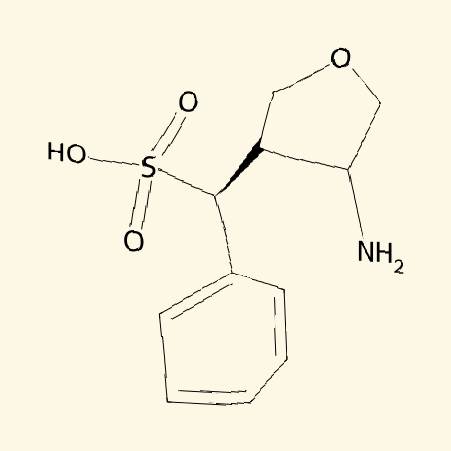 NC1COCC1[C@@H](c1ccccc1)S(=O)(=O)O